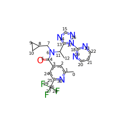 Cc1cc(C(=O)N(CC2CC2)C(C)c2ncnn2-c2ncccn2)cc(C(F)(F)F)n1